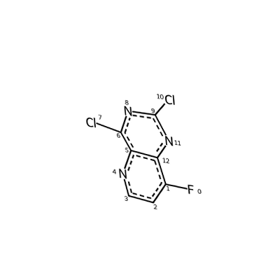 Fc1ccnc2c(Cl)nc(Cl)nc12